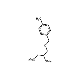 COCC(COCc1ccc(C)cc1)OC